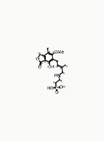 COc1c(C)c2c(c(O)c1C/C=C(\C)CNCCP(=O)(O)O)C(=O)OC2